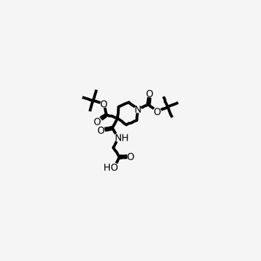 CC(C)(C)OC(=O)N1CCC(C(=O)NCC(=O)O)(C(=O)OC(C)(C)C)CC1